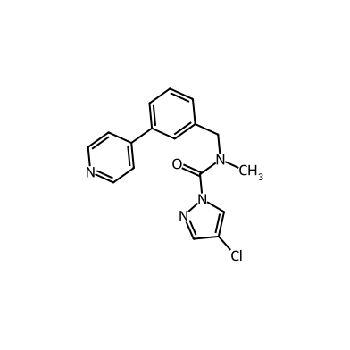 CN(Cc1cccc(-c2ccncc2)c1)C(=O)n1cc(Cl)cn1